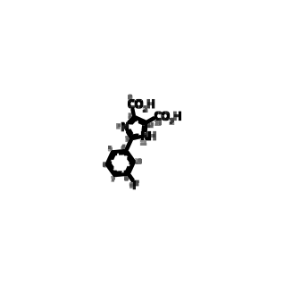 O=C(O)c1nc(-c2cccc(F)c2)[nH]c1C(=O)O